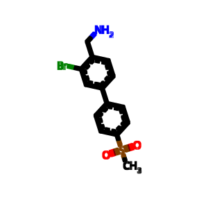 CS(=O)(=O)c1ccc(-c2ccc(CN)c(Br)c2)cc1